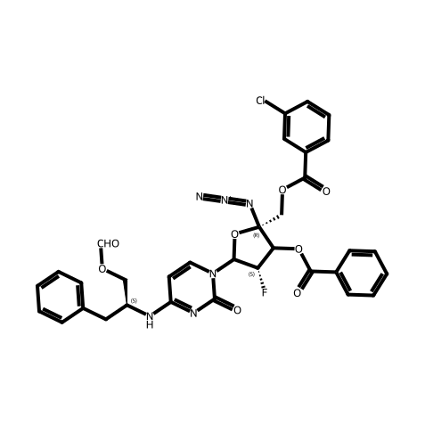 [N-]=[N+]=N[C@]1(COC(=O)c2cccc(Cl)c2)OC(n2ccc(N[C@H](COC=O)Cc3ccccc3)nc2=O)[C@@H](F)C1OC(=O)c1ccccc1